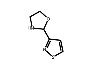 c1cc([C]2NCCO2)ns1